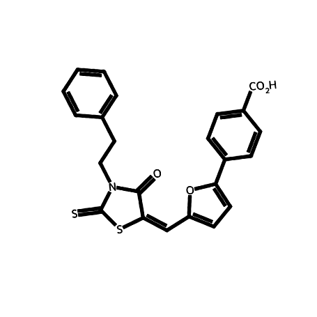 O=C(O)c1ccc(-c2ccc(C=C3SC(=S)N(CCc4ccccc4)C3=O)o2)cc1